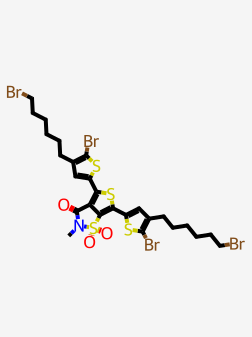 CN1C(=O)c2c(-c3cc(CCCCCCBr)c(Br)s3)sc(-c3cc(CCCCCCBr)c(Br)s3)c2S1(=O)=O